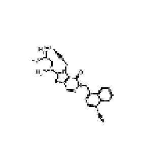 CC#CCn1c(N(C)CC(C)N)nc2cnn(Cc3ccc(C#N)c4ccccc34)c(=O)c21